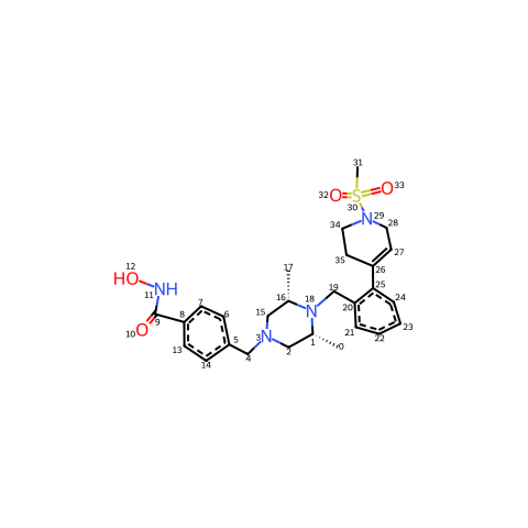 C[C@@H]1CN(Cc2ccc(C(=O)NO)cc2)C[C@H](C)N1Cc1ccccc1C1=CCN(S(C)(=O)=O)CC1